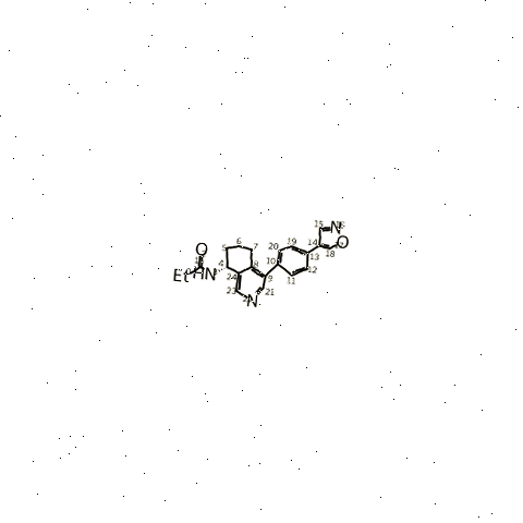 CCC(=O)N[C@@H]1CCCc2c(-c3ccc(-c4cnoc4)cc3)cncc21